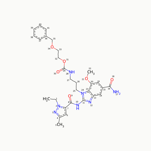 CCn1nc(C)cc1C(=O)Nc1nc2cc(C(N)=O)cc(OC)c2n1CCCNC(=O)OCCOCc1ccccc1